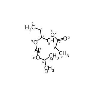 CCC(=O)[O-].CCC(C)[O][Al+][O]C(C)C